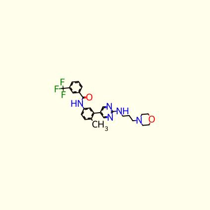 Cc1ccc(NC(=O)c2cccc(C(F)(F)F)c2)cc1-c1cnc(NCCCN2CCOCC2)nc1